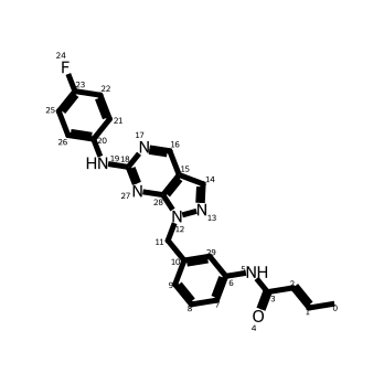 C/C=C/C(=O)Nc1cccc(Cn2ncc3cnc(Nc4ccc(F)cc4)nc32)c1